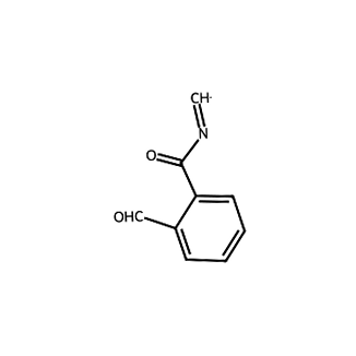 [CH]=NC(=O)c1ccccc1C=O